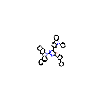 c1ccc(-c2ccc3oc4c(-c5ccc6c7ccccc7n(-c7ccccc7)c6c5)nc(-n5c6cc7ccccc7cc6c6c7ccccc7ccc65)nc4c3c2)cc1